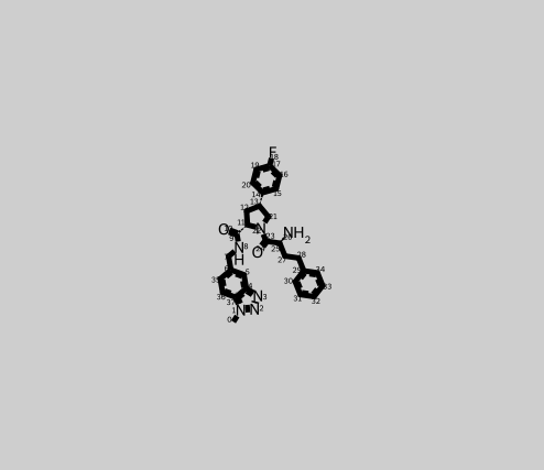 Cn1nnc2cc(CNC(=O)[C@@H]3C[C@H](c4ccc(F)cc4)CN3C(=O)[C@H](N)CCc3ccccc3)ccc21